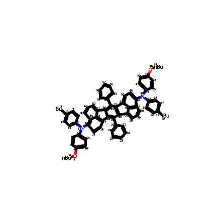 CCCCOc1ccc(N(c2ccc(C(C)CC)cc2)c2ccc3c4c(-c5ccccc5)c5c6cccc7c(N(c8ccc(OCCCC)cc8)c8ccc(C(C)CC)cc8)ccc(c5c(-c5ccccc5)c4c4cccc2c43)c76)cc1